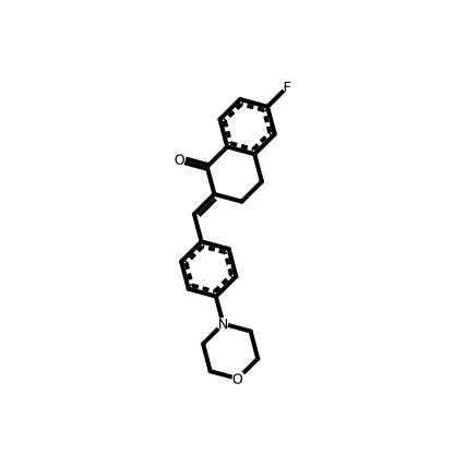 O=C1/C(=C/c2ccc(N3CCOCC3)cc2)CCc2cc(F)ccc21